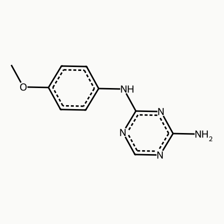 COc1ccc(Nc2ncnc(N)n2)cc1